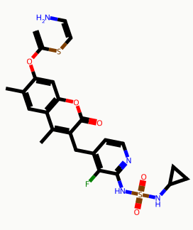 C=C(Oc1cc2oc(=O)c(Cc3ccnc(NS(=O)(=O)NC4CC4)c3F)c(C)c2cc1C)S/C=C\N